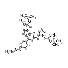 CC(C)(C)OC(=O)Cn1ccnc1CN(CCc1ccc(SOON)cc1)Cc1nccn1CC(=O)OC(C)(C)C